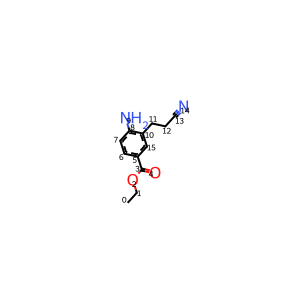 CCOC(=O)c1ccc(N)c(CCC#N)c1